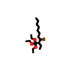 CCCCCCCC(=S)C(CC)[Si](OCC)(OCC)OCC